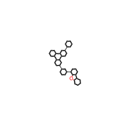 c1ccc(-c2ccc3c(c2)c2ccccc2c2ccc(-c4cccc(-c5cccc6c5oc5ccccc56)c4)cc23)cc1